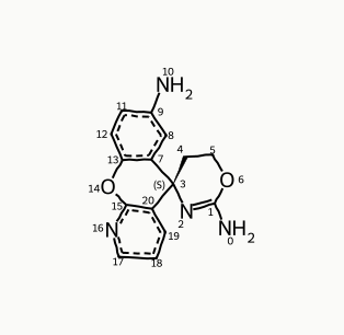 NC1=N[C@@]2(CCO1)c1cc(N)ccc1Oc1ncccc12